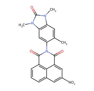 Cc1cc2c(cc1N1C(=O)c3cccc4cc([N+](=O)[O-])cc(c34)C1=O)n(C)c(=O)n2C